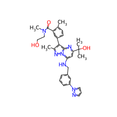 Cc1ccc(-c2c(C)nn3c(NCc4cccc(-n5cccn5)c4)cc(C(C)(C)O)nc23)cc1C(=O)N(C)CCO